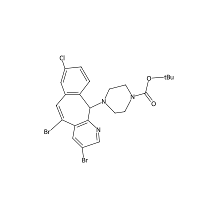 CC(C)(C)OC(=O)N1CCN(C2c3ccc(Cl)cc3C=C(Br)c3cc(Br)cnc32)CC1